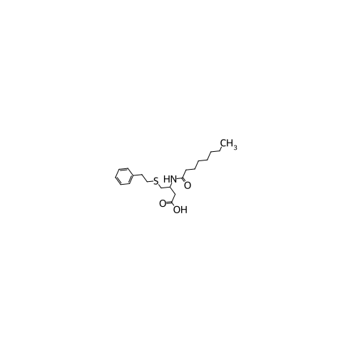 CCCCCCCC(=O)NC(CSCCc1ccccc1)CC(=O)O